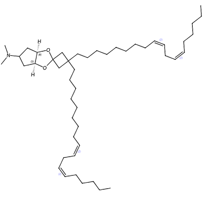 CCCCC/C=C\C/C=C\CCCCCCCCC1(CCCCCCCC/C=C\C/C=C\CCCCC)CC2(C1)O[C@H]1CC(N(C)C)C[C@H]1O2